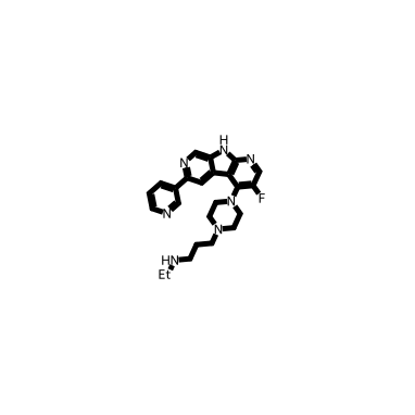 CCNCCCN1CCN(c2c(F)cnc3[nH]c4cnc(-c5cccnc5)cc4c23)CC1